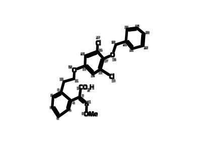 CO/N=C(/C(=O)O)c1ccccc1CCOc1cc(Cl)c(OCc2ccccc2)c(Cl)c1